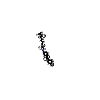 C=C(C)C(=O)OCCCCOC(=O)/C=C/c1ccc(OC(=O)c2ccc(OC)cc2)cc1